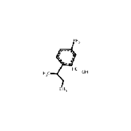 CCC(C)c1ccc(P)cc1.Cl.Cl